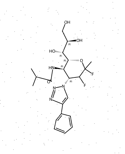 CC(C)C(=O)N[C@H]1[C@H]([C@H](O)[C@H](O)CO)OC(C)(F)C(F)[C@@H]1n1cc(-c2ccccc2)nn1